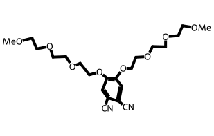 COCCOCCOCCOc1cc(C#N)c(C#N)cc1OCCOCCOCCOC